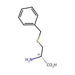 N[C@H](CSCc1ccccc1)C(=O)O